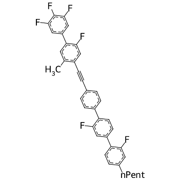 CCCCCc1ccc(-c2ccc(-c3ccc(C#Cc4cc(F)c(-c5cc(F)c(F)c(F)c5)cc4C)cc3)c(F)c2)c(F)c1